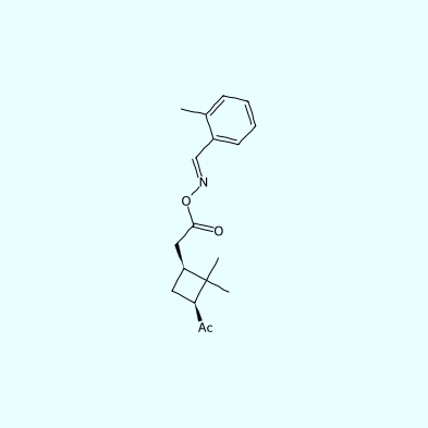 CC(=O)[C@H]1C[C@@H](CC(=O)ON=Cc2ccccc2C)C1(C)C